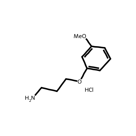 COc1cccc(OCCCN)c1.Cl